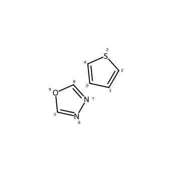 c1ccsc1.c1nnco1